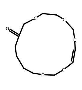 O=C1CCCCCCC/C=C\CCCCCCC1